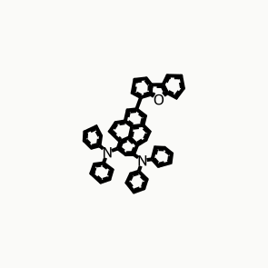 c1ccc(N(c2ccccc2)c2cc(N(c3ccccc3)c3ccccc3)c3ccc4cc(-c5cccc6c5oc5ccccc56)cc5ccc2c3c54)cc1